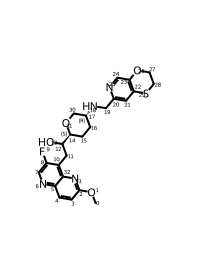 COc1ccc2ncc(F)c(CC(O)[C@@H]3CC[C@@H](NCc4cc5c(cn4)OCCS5)CO3)c2n1